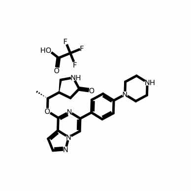 C[C@@H](Oc1nc(-c2ccc(N3CCNCC3)cc2)cn2nccc12)[C@H]1CNC(=O)C1.O=C(O)C(F)(F)F